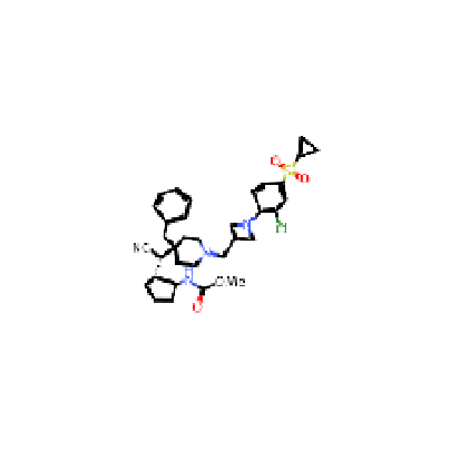 COC(=O)N[C@H]1CCC[C@@H]1C(C#N)C1(Cc2ccccc2)CCN(CC2CN(c3ccc(S(=O)(=O)C4CC4)cc3Cl)C2)CC1